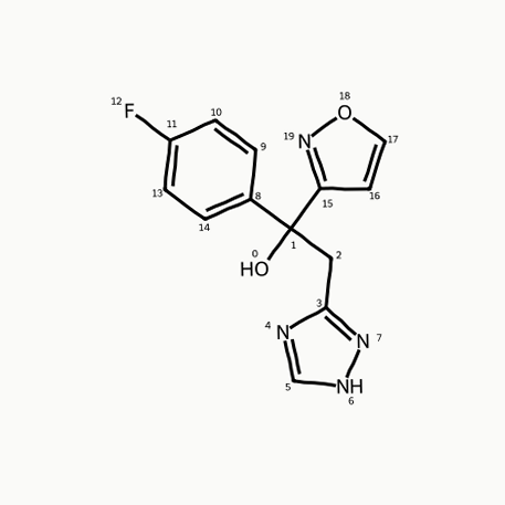 OC(Cc1nc[nH]n1)(c1ccc(F)cc1)c1ccon1